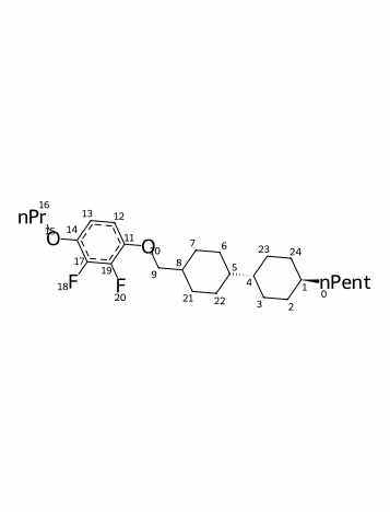 CCCCC[C@H]1CC[C@H](C2CCC(COc3ccc(OCCC)c(F)c3F)CC2)CC1